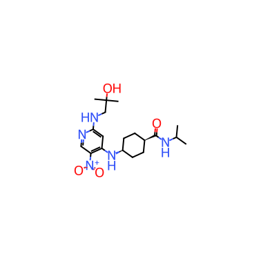 CC(C)NC(=O)[C@H]1CC[C@@H](Nc2cc(NCC(C)(C)O)ncc2[N+](=O)[O-])CC1